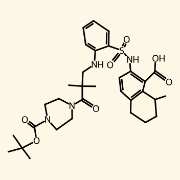 CC1CCCc2ccc(NS(=O)(=O)c3ccccc3NCC(C)(C)C(=O)N3CCN(C(=O)OC(C)(C)C)CC3)c(C(=O)O)c21